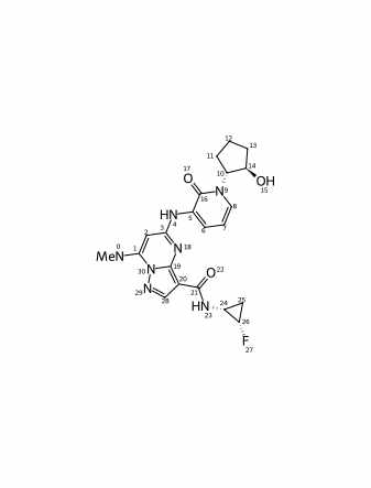 CNc1cc(Nc2cccn([C@@H]3CCC[C@H]3O)c2=O)nc2c(C(=O)N[C@@H]3C[C@@H]3F)cnn12